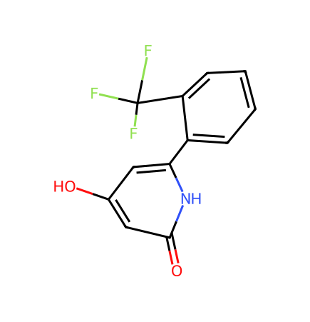 O=c1cc(O)cc(-c2ccccc2C(F)(F)F)[nH]1